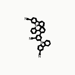 N#Cc1cc(-c2ccccc2-c2ccccc2-n2c3ccccc3c3ccc(C#N)cc32)cc(-n2c3c(c4cc(C#N)ccc42)CCC=C3)c1